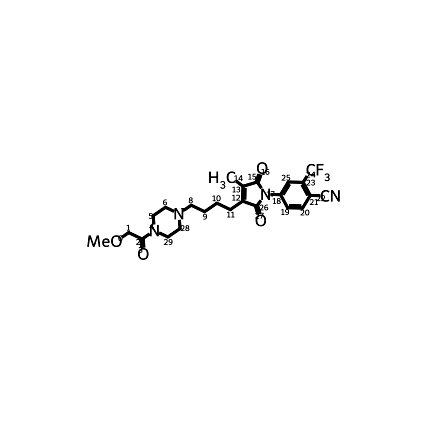 COCC(=O)N1CCN(CCCCC2=C(C)C(=O)N(c3ccc(C#N)c(C(F)(F)F)c3)C2=O)CC1